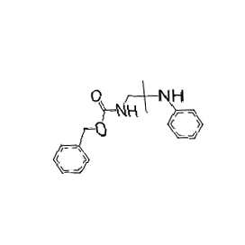 CC(C)(CNC(=O)OCc1ccccc1)Nc1ccccc1